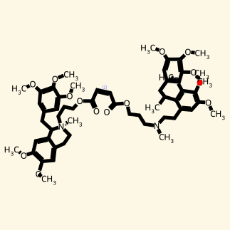 COc1cc2c(cc1OC)C(Cc1cc(OC)c(OC)c(OC)c1)[N+](C)(CCCOC(=O)/C=C\C(=O)OCCCN(C)CCc1cc(OC)c(OC)c(OC)c1C(C)Cc1cc(OC)c(OC)c(OC)c1)CC2